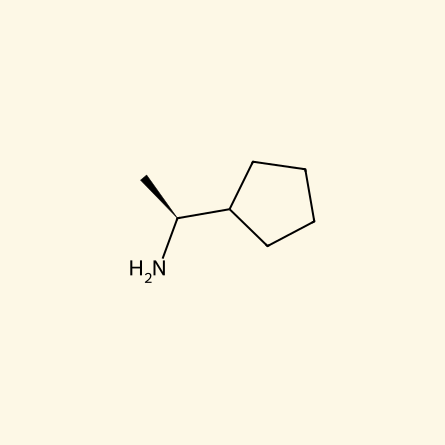 C[C@H](N)C1CCCC1